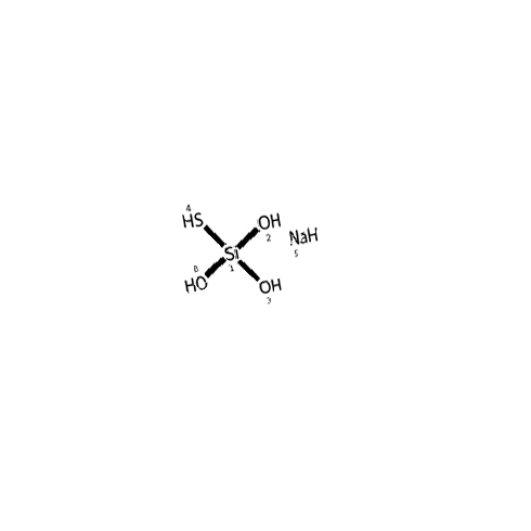 O[Si](O)(O)S.[NaH]